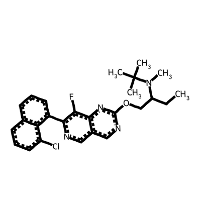 CCC(COc1ncc2cnc(-c3cccc4cccc(Cl)c34)c(F)c2n1)N(C)C(C)(C)C